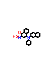 O=C1C(=NO)C=C(N(c2ccccc2)c2ccc3ccccc3c2)c2ccccc21